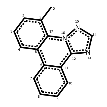 Cc1cccc2c3ccccc3c3ncnn3c12